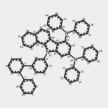 c1ccc(-c2ccccc2-c2cccc(-n3c4cc(N(c5ccccc5)c5ccccc5)cc(N(c5ccccc5)c5ccccc5)c4c4ccc5ccccc5c43)c2)cc1